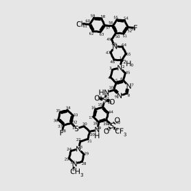 [2H]C1(N2CCc3c(ncnc3NS(=O)(=O)c3ccc(NC(CCN4CCN(C)CC4)CSc4ccccc4F)c(S(=O)(=O)C(F)(F)F)c3)C2)CCN(Cc2cc(F)ccc2-c2ccc(Cl)cc2)CC1